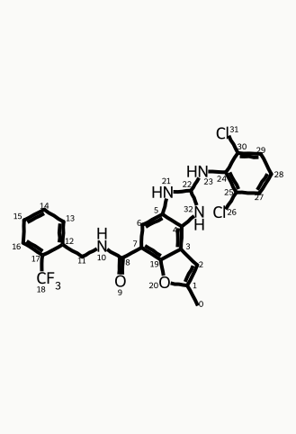 Cc1cc2c3c(cc(C(=O)NCc4ccccc4C(F)(F)F)c2o1)NC(Nc1c(Cl)cccc1Cl)N3